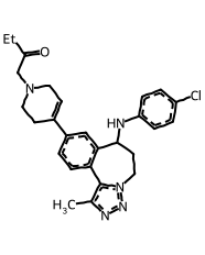 CCC(=O)CN1CC=C(c2ccc3c(c2)C(Nc2ccc(Cl)cc2)CCn2nnc(C)c2-3)CC1